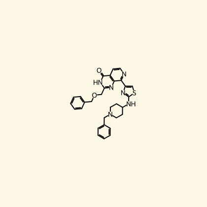 O=c1[nH]c(COCc2ccccc2)nc2c(-c3csc(NC4CCN(Cc5ccccc5)CC4)n3)nccc12